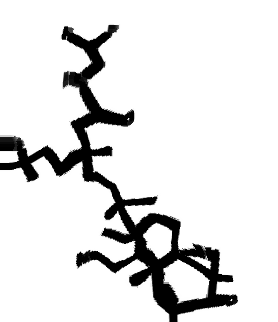 CCC(C)(C)CC[C@@](C)(CCC(C)(C)[C@]1(C)CC[C@H]2C(C)(C)C(=O)C(C#N)=C[C@]2(C)[C@H]1CC(C)=O)CC(=O)NCC(F)F